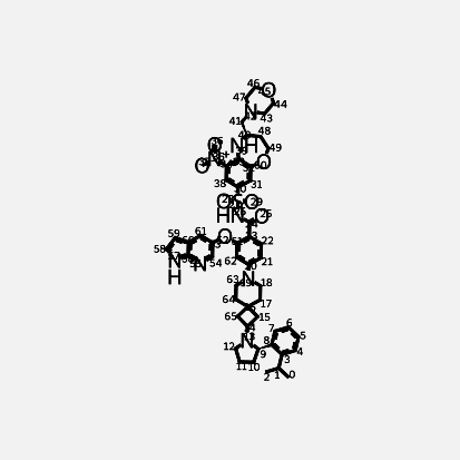 CC(C)c1ccccc1[C@H]1CCCN1C1CC2(CCN(c3ccc(C(=O)NS(=O)(=O)c4cc5c(c([N+](=O)[O-])c4)N[C@@H](CN4CCOCC4)CCO5)c(Oc4cnc5[nH]ccc5c4)c3)CC2)C1